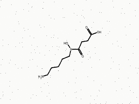 NCCCCCN(O)C(=O)CCC(=O)O